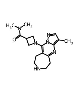 Cc1cnn2c(N3CC(C(=O)N(C)C)C3)c3c(nc12)CCNCC3